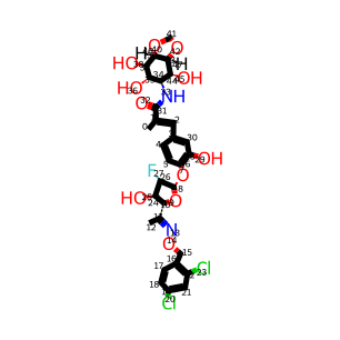 CC(=Cc1ccc(O[C@@H]2O[C@H](C(C)=NOCc3ccc(Cl)cc3Cl)[C@@H](O)[C@@H]2F)c(O)c1)C(=O)N[C@@H]1[C@H](O)[C@@H](O)[C@H]2OCO[C@H]2[C@@H]1O